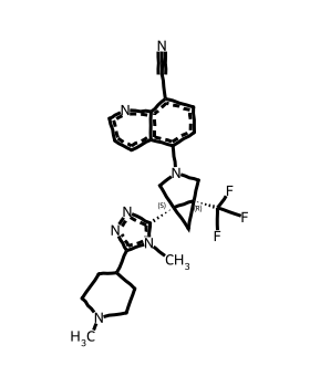 CN1CCC(c2nnc([C@]34CN(c5ccc(C#N)c6ncccc56)C[C@@]3(C(F)(F)F)C4)n2C)CC1